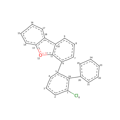 Clc1cccc(-c2cccc3c2oc2ccccc23)c1-c1ccccc1